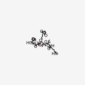 CC[C@H](C)[C@H](ONC(=O)CCCCCNC)C(=O)N(C)[C@H](C[C@@H](OCCCCN1C(=O)C=CC1=O)c1nc(C(=O)N[C@H](C)C(O)c2ccccc2)cs1)C(C)C